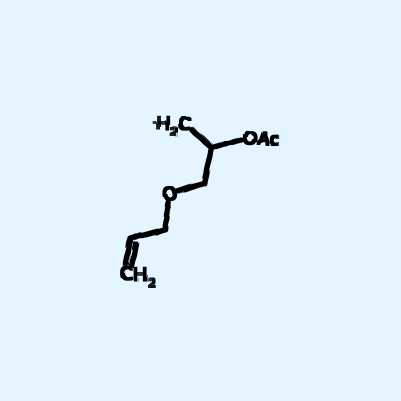 [CH2]C(COCC=C)OC(C)=O